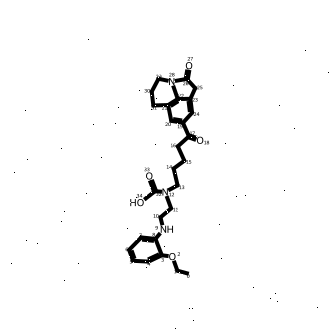 CCOc1ccccc1NCCN(CCCCC(=O)c1cc2c3c(c1)CC(=O)N3CCC2)C(=O)O